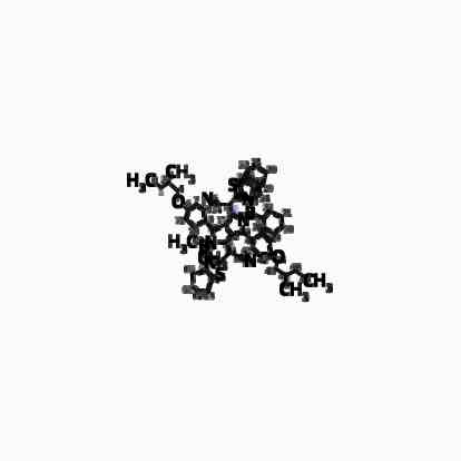 CCC(C)COc1ccc(-c2c3/c(=C(\C#N)c4nc5ccccc5s4)n(B(c4ccccc4)c4ccccc4)c(-c4ccc(OCC(C)CC)cc4)c3/c(=C(\C#N)c3nc4ccccc4s3)n2B(C)C)cc1